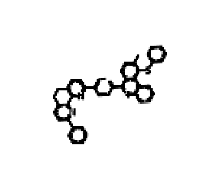 C=C(/C=C\C(=C/C)c1ccc2c(n1)-c1nc(-c3ccccc3)ccc1CC2)c1nc2ccccc2c2c(Sc3ccccc3)c(C)ccc12